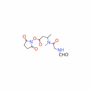 CC(CC(=O)ON1C(=O)CCC1=O)N(C)C(=O)CNC=O